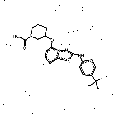 O=C(O)N1CCCC(Oc2cccc3nc(Nc4ccc(C(F)(F)F)cc4)nn23)C1